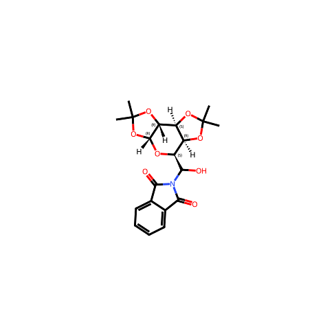 CC1(C)O[C@H]2[C@@H](O1)[C@@H](C(O)N1C(=O)c3ccccc3C1=O)O[C@@H]1OC(C)(C)O[C@@H]12